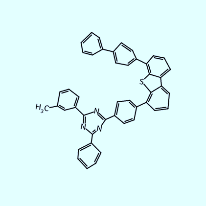 Cc1cccc(-c2nc(-c3ccccc3)nc(-c3ccc(-c4cccc5c4sc4c(-c6ccc(-c7ccccc7)cc6)cccc45)cc3)n2)c1